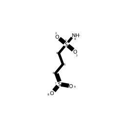 [NH]S(=O)(=O)CCC=S(=O)=O